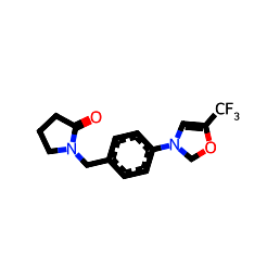 O=C1CCCN1Cc1ccc(N2C=C(C(F)(F)F)OC2)cc1